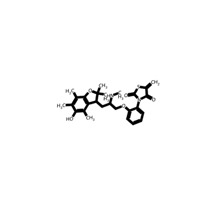 C=C1SC(=O)N(c2ccccc2OCC(CC2c3c(C)c(O)c(C)c(C)c3OC2(C)C)NC)C1=O